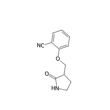 N#Cc1ccccc1OCC1CCNC1=O